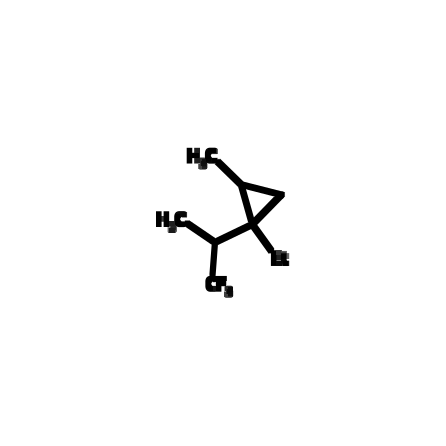 CCC1(C(C)C(F)(F)F)CC1C